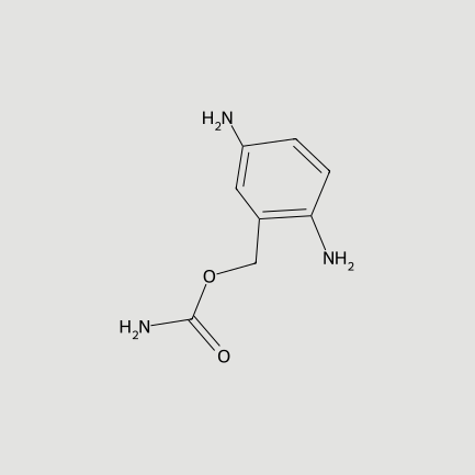 NC(=O)OCc1cc(N)ccc1N